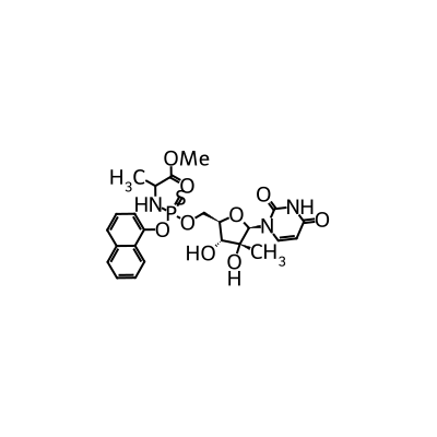 COC(=O)C(C)NP(=S)(OC[C@H]1O[C@@H](n2ccc(=O)[nH]c2=O)[C@](C)(O)[C@@H]1O)Oc1cccc2ccccc12